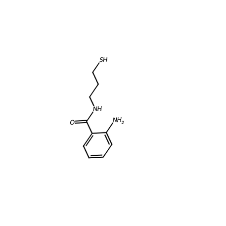 Nc1ccccc1C(=O)NCCCS